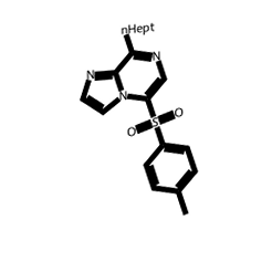 CCCCCCCc1ncc(S(=O)(=O)c2ccc(C)cc2)n2ccnc12